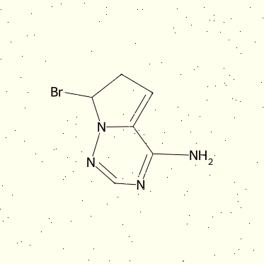 NC1=NC=NN2C1=CCC2Br